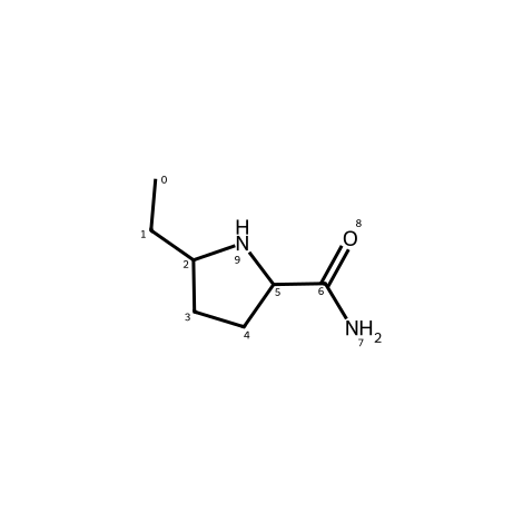 CCC1CCC(C(N)=O)N1